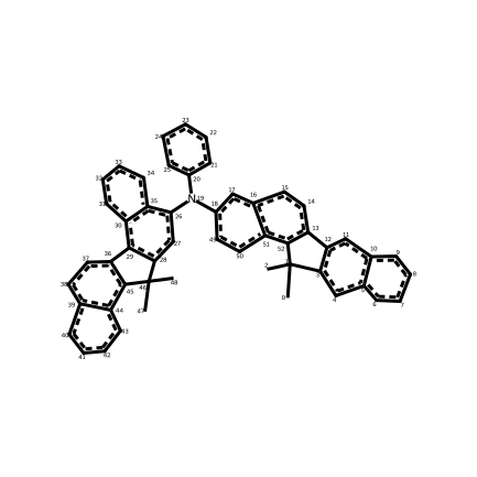 CC1(C)c2cc3ccccc3cc2-c2ccc3cc(N(c4ccccc4)c4cc5c(c6ccccc46)-c4ccc6ccccc6c4C5(C)C)ccc3c21